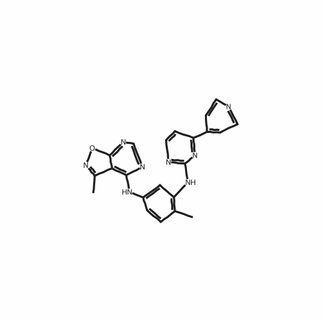 Cc1ccc(Nc2ncnc3onc(C)c23)cc1Nc1nccc(-c2ccncc2)n1